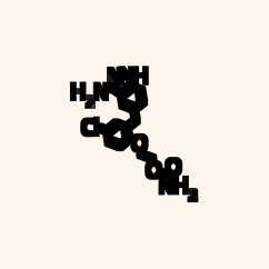 NC(=O)OCCOc1ccc(Cl)cc1Cc1ccc2[nH]nc(N)c2c1